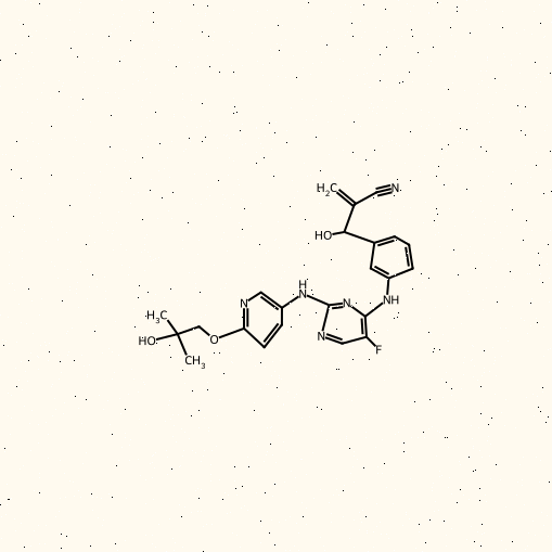 C=C(C#N)C(O)c1cccc(Nc2nc(Nc3ccc(OCC(C)(C)O)nc3)ncc2F)c1